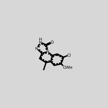 COc1cc2c(C)cc3n[nH]c(=O)n3c2cc1Cl